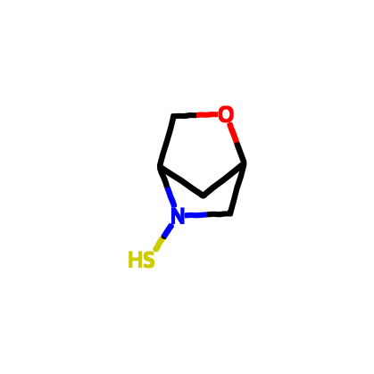 SN1CC2CC1CO2